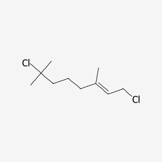 C/C(=C\CCl)CCCC(C)(C)Cl